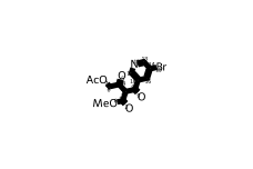 COC(=O)C(C(=O)COC(C)=O)C(=O)c1cncc(Br)c1